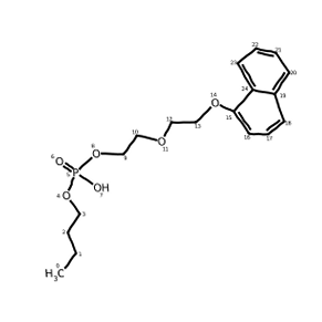 CCCCOP(=O)(O)OCCOCCOc1cccc2ccccc12